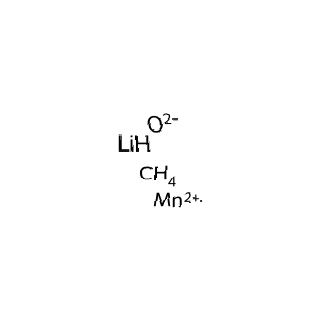 C.[LiH].[Mn+2].[O-2]